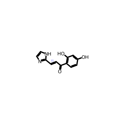 O=C(/C=C/c1ncc[nH]1)c1ccc(O)cc1O